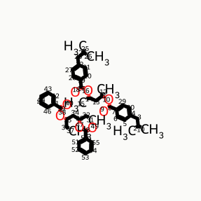 CC(C)Cc1ccc(C(=O)OC(C)CC(C)OC(=O)c2ccc(CC(C)C)cc2)cc1.CCC(CC(CC)OC(=O)c1ccccc1)OC(=O)c1ccccc1